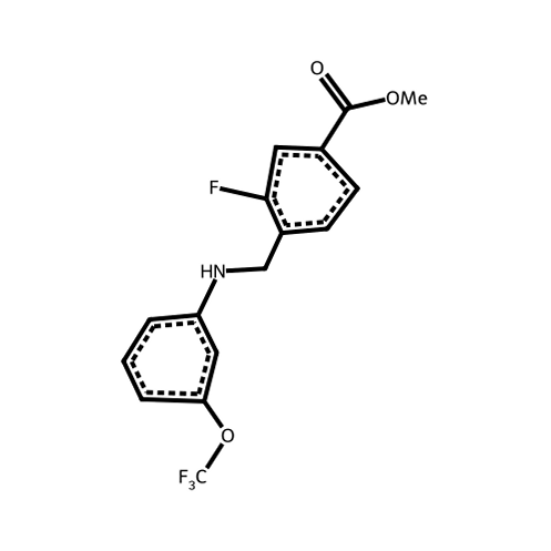 COC(=O)c1ccc(CNc2cccc(OC(F)(F)F)c2)c(F)c1